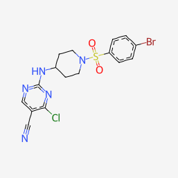 N#Cc1cnc(NC2CCN(S(=O)(=O)c3ccc(Br)cc3)CC2)nc1Cl